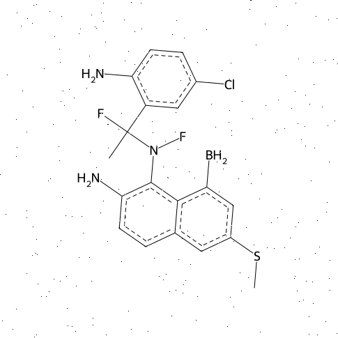 Bc1cc(SC)cc2ccc(N)c(N(F)C(C)(F)c3cc(Cl)ccc3N)c12